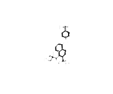 CC(c1c(C(N)=O)ccc2c(Oc3ccc(C(F)(F)F)cc3)cccc12)C1(F)CNC1